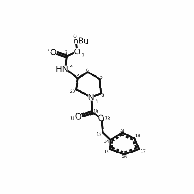 CCCCOC(=O)NC1CCCN(C(=O)OCc2ccccc2)C1